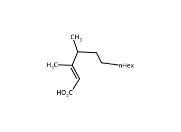 CCCCCCCCC(C)C(C)=CC(=O)O